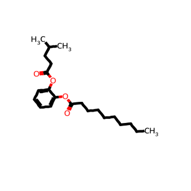 CCCCCCCCCC(=O)Oc1ccccc1OC(=O)CCC(C)C